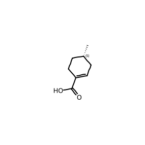 C[C@@H]1CC=C(C(=O)O)CC1